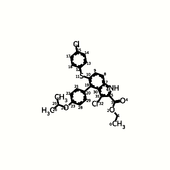 CCOC(=O)c1[nH]c2ccc(Sc3ccc(Cl)cc3)c(-c3ccc(OC(C)C)cc3)c2c1Cl